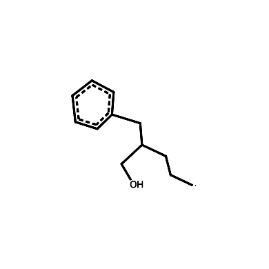 [CH2]CCC(CO)Cc1ccccc1